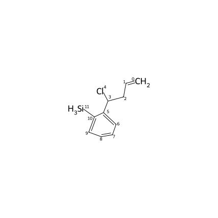 C=CCC(Cl)c1ccccc1[SiH3]